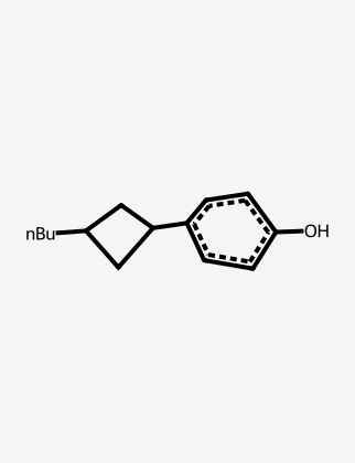 CCCCC1CC(c2ccc(O)cc2)C1